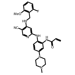 C=CC(=O)Nc1cc(N2CCN(C)CC2)ccc1Nc1cc(NCc2c(F)cccc2OC)c(C#N)cn1